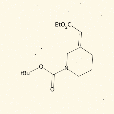 CCOC(=O)/C=C1/CCCN(C(=O)OC(C)(C)C)C1